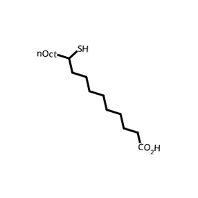 CCCCCCCCC(S)CCCCCCCCC(=O)O